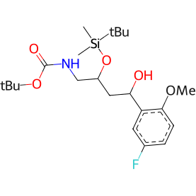 COc1ccc(F)cc1C(O)CC(CNC(=O)OC(C)(C)C)O[Si](C)(C)C(C)(C)C